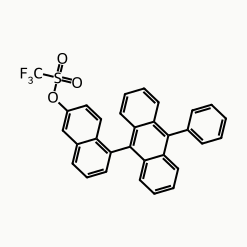 O=S(=O)(Oc1ccc2c(-c3c4ccccc4c(-c4ccccc4)c4ccccc34)cccc2c1)C(F)(F)F